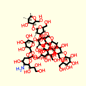 CC1C(O)[C@H](O[C@@H]2OC(CO[C@]3(C(=O)O)C[C@@H](O)[C@@H](N)C([C@H](O)C(O)CO)O3)[C@H](O)C(O)[C@@H]2O)[C@H](CO)O[C@H]1O[C@@H]1C(O)[C@H](O)C(CO)O[C@@H]1OCC1O[C@@H](O[C@@H]2C(CO)O[C@@H](O[C@@H]3C(CO)O[C@@H](C)[C@@H](C)C3O)[C@@H](C)C2O)[C@H](O)C(O[C@H]2O[C@H](CO)[C@@H](O)C(O)C2O[C@@H]2OC(CO)[C@@H](O[C@@H]3OC(CO)[C@H](O)C(O)[C@@H]3O)C(O)[C@@H]2C)[C@@H]1O